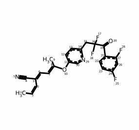 C\C=C/C(C#N)=C\C=C(/C)Oc1ccc(CC(F)(F)C(=O)c2ccc(F)cc2F)nc1